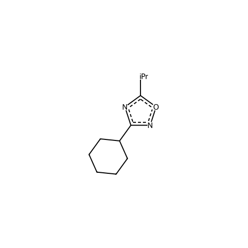 CC(C)c1nc(C2CCCCC2)no1